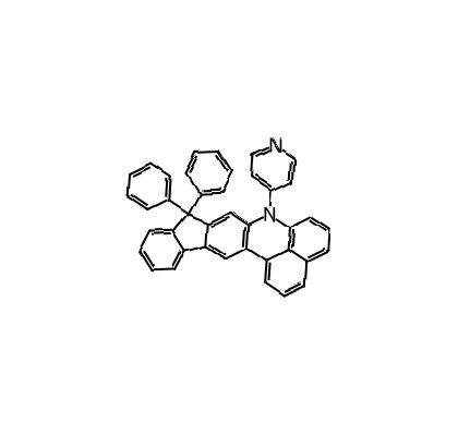 c1ccc(C2(c3ccccc3)c3ccccc3-c3cc4c(cc32)N(c2ccncc2)c2cccc3cccc-4c23)cc1